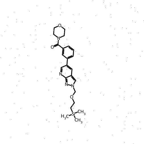 C[Si](C)(C)CCOCn1cc2cc(-c3cccc(C(=O)N4CCOCC4)c3)cnc2n1